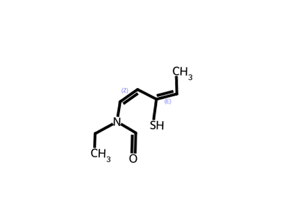 C/C=C(S)\C=C/N(C=O)CC